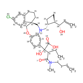 C=CCCN(C)C(=O)C(CC)C(O)(C(=O)O)c1ccc2c(c1)N(C[C@@H]1CC[C@H]1[C@@H](O)C=C)C[C@@]1(CCCc3cc(Cl)ccc31)CO2